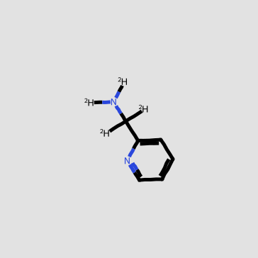 [2H]N([2H])C([2H])([2H])c1ccccn1